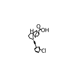 O=C(O)N1CCN2[C@@H](CCC[C@@H]2C#Cc2cccc(Cl)c2)C1